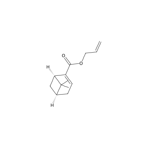 C=CCOC(=O)C1=CC[C@H]2C[C@@H]1C2(C)C